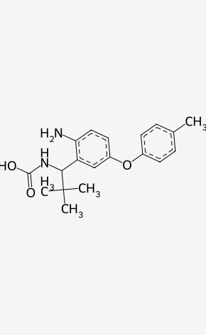 Cc1ccc(Oc2ccc(N)c(C(NC(=O)O)C(C)(C)C)c2)cc1